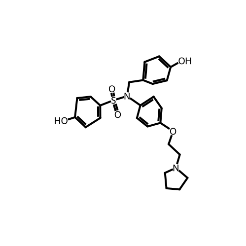 O=S(=O)(c1ccc(O)cc1)N(Cc1ccc(O)cc1)c1ccc(OCCN2CCCC2)cc1